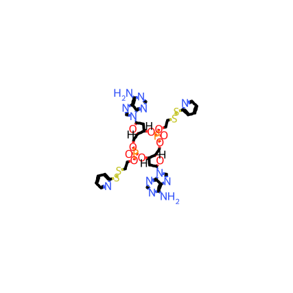 Nc1ncnc2c1ncn2[C@H]1C[C@H]2OP(=O)(OCCSSc3ccccn3)OC[C@H]3O[C@@H](n4cnc5c(N)ncnc54)C[C@H]3OP(=O)(OCCSSc3ccccn3)OC[C@H]2O1